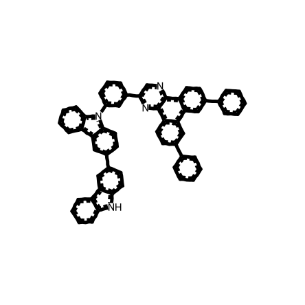 c1ccc(-c2ccc3c(c2)c2cc(-c4ccccc4)ccc2c2nc(-c4cccc(-n5c6ccccc6c6cc(-c7ccc8[nH]c9ccccc9c8c7)ccc65)c4)cnc32)cc1